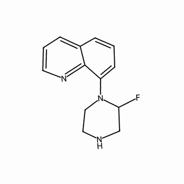 FC1CNCCN1c1cccc2cccnc12